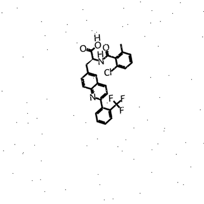 Cc1cccc(Cl)c1C(=O)N[C@@H](Cc1ccc2nc(-c3ccccc3C(F)(F)F)ccc2c1)C(=O)O